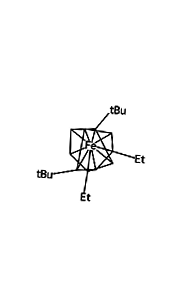 CC[C]12[CH]3[CH]4[C]5(C(C)(C)C)[CH]1[Fe]34251678[CH]2[CH]1[C]6(C(C)(C)C)[CH]7[C]28CC